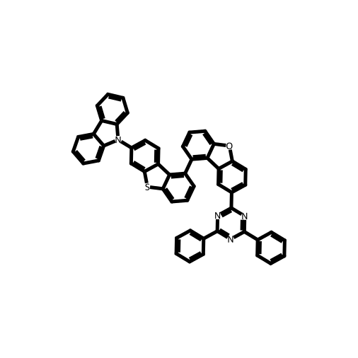 c1ccc(-c2nc(-c3ccccc3)nc(-c3ccc4oc5cccc(-c6cccc7sc8cc(-n9c%10ccccc%10c%10ccccc%109)ccc8c67)c5c4c3)n2)cc1